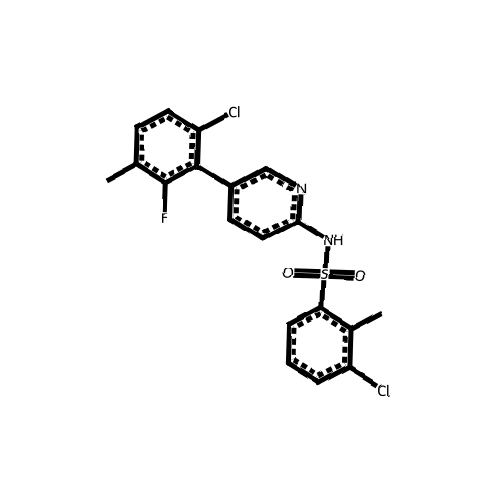 Cc1ccc(Cl)c(-c2ccc(NS(=O)(=O)c3cccc(Cl)c3C)nc2)c1F